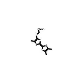 CCCCCCCCCCSC1=C(C)SC(=C2SC(C)=C(C)S2)S1